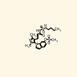 CCCCNS(=O)(=O)NC(=O)/C=C/c1c(C)nn(C)c1-n1ccc2ccc(OS(C)(=O)=O)cc21